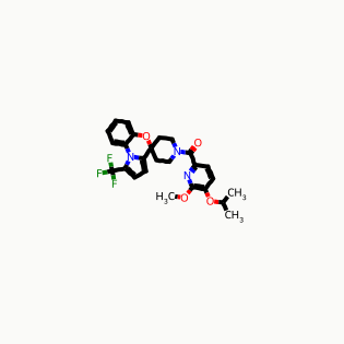 COc1nc(C(=O)N2CCC3(CC2)Oc2ccccc2-n2c(C(F)(F)F)ccc23)ccc1OC(C)C